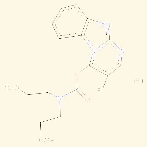 CCc1c([C@@H](C)CC)nc2nc3ccccc3n2c1OC(=O)N(CCOC)CCOC